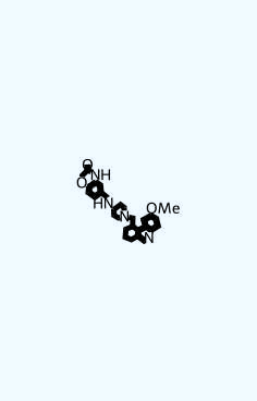 COc1ccc2ncc3c(c2c1)C(CN1CCC(NCc2ccc4c(c2)NC(=O)CO4)CC1)CCC3